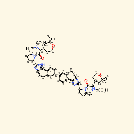 CN(C(=O)O)C(C(=O)N1CCC[C@H]1c1nc2ccc3cc(-c4ccc5c(ccc6nc([C@@H]7CCCN7C(=O)C(C7CCOC8(CC8)C7)N(C)C(=O)O)[nH]c65)c4)ccc3c2[nH]1)C1CCOC2(CC2)C1